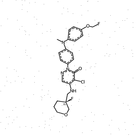 CN(c1ccc(OCF)cc1)c1ccc(-n2ncc(NC[C@@]3(F)CCCOC3)c(Cl)c2=O)cc1